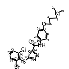 CN(C)CCCOc1ccc(NC(=O)c2nnc(Sc3c(Cl)cncc3Br)s2)cc1